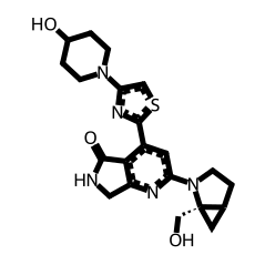 O=C1NCc2nc(N3CCC4C[C@]43CO)cc(-c3nc(N4CCC(O)CC4)cs3)c21